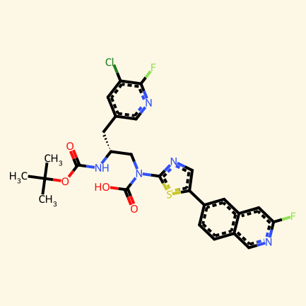 CC(C)(C)OC(=O)N[C@H](Cc1cnc(F)c(Cl)c1)CN(C(=O)O)c1ncc(-c2ccc3cnc(F)cc3c2)s1